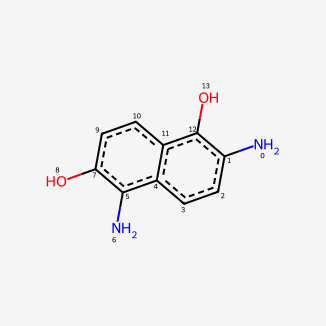 Nc1ccc2c(N)c(O)ccc2c1O